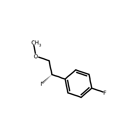 COC[C@@H](I)c1ccc(F)cc1